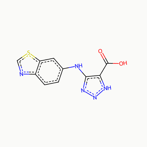 O=C(O)c1[nH]nnc1Nc1ccc2ncsc2c1